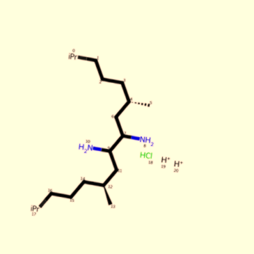 CC(C)CCC[C@H](C)CC(N)C(N)C[C@@H](C)CCCC(C)C.Cl.[H+].[H+]